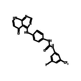 O=C(Nc1ccc(Nc2ncnc3[nH]ccc(=O)c23)cc1)Nc1cc(F)cc(C(F)(F)F)c1